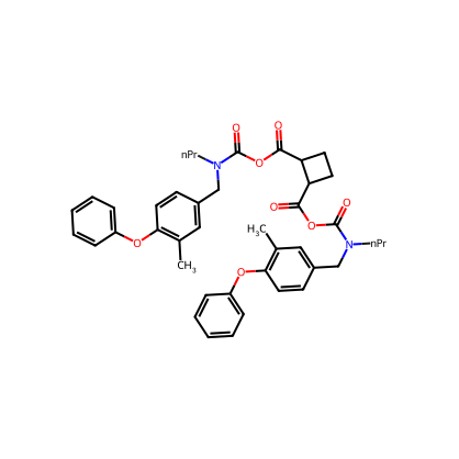 CCCN(Cc1ccc(Oc2ccccc2)c(C)c1)C(=O)OC(=O)C1CCC1C(=O)OC(=O)N(CCC)Cc1ccc(Oc2ccccc2)c(C)c1